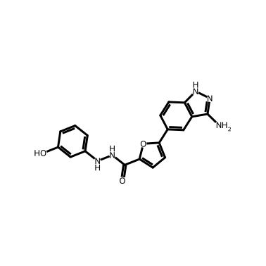 Nc1n[nH]c2ccc(-c3ccc(C(=O)NNc4cccc(O)c4)o3)cc12